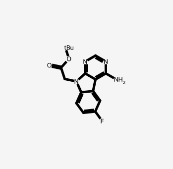 CC(C)(C)OC(=O)Cn1c2ccc(F)cc2c2c(N)ncnc21